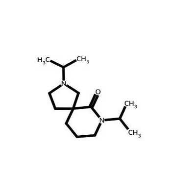 CC(C)N1CCC2(CCCN(C(C)C)C2=O)C1